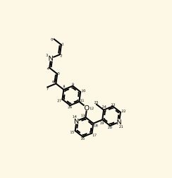 C\C=C/N=C\C=C(/C)c1ccc(Oc2ncccc2-c2cnccc2C)cc1